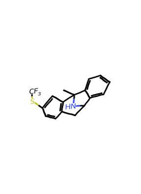 CC12NC(Cc3ccc(SC(F)(F)F)cc31)c1ccccc12